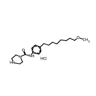 COCCCCCCCCc1ccc(NC(=O)N2CCNCC2)cc1.Cl